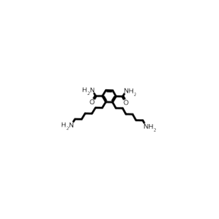 NCCCCCCc1c(C(N)=O)ccc(C(N)=O)c1CCCCCCN